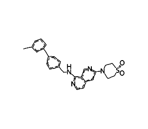 Cc1cccc(-c2ccc(CNc3nccc4cc(N5CCS(=O)(=O)CC5)ncc34)cc2)c1